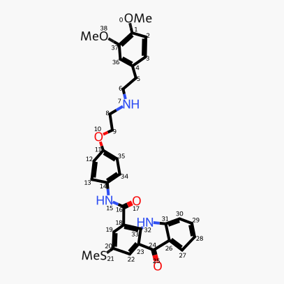 COc1ccc(CCNCCOc2ccc(NC(=O)c3cc(SC)cc4c(=O)c5ccccc5[nH]c34)cc2)cc1OC